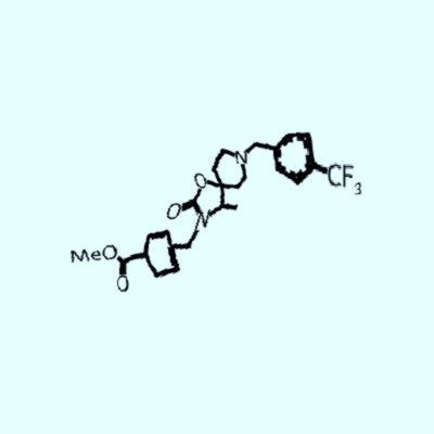 COC(=O)C1C=CC(CN2C(=O)OC3(CCN(Cc4ccc(C(F)(F)F)cc4)CC3)C2C)=CC1